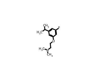 CC(C)c1cc(F)cc(OCCN(C)C)c1